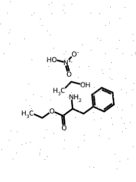 CCO.CCOC(=O)C(N)Cc1ccccc1.O=[N+]([O-])O